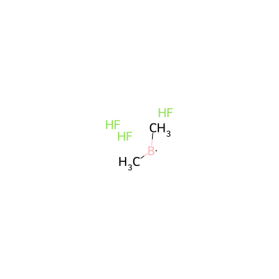 C[B]C.F.F.F